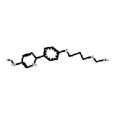 CC(C)(C)COCCCOc1ccc(C2C=CC(NC(C)(C)C)=CN2)cc1